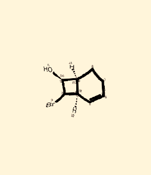 O[C@@H]1C(Br)[C@@H]2C=CCC[C@H]12